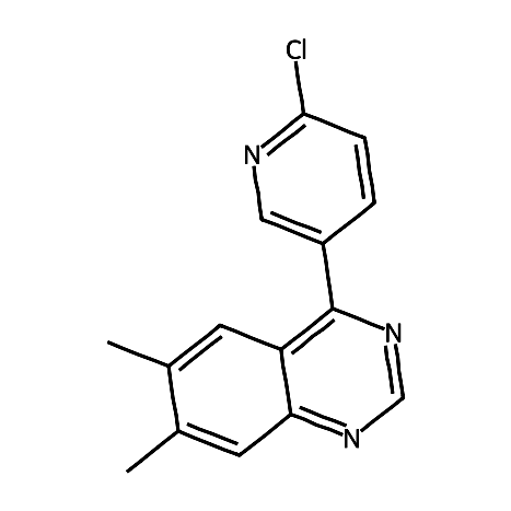 Cc1cc2ncnc(-c3ccc(Cl)nc3)c2cc1C